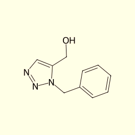 OCc1cnnn1Cc1ccccc1